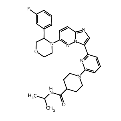 CC(C)NC(=O)C1CCN(c2cccc(-c3cnc4ccc(N5CCOCC5c5cccc(F)c5)nn34)n2)CC1